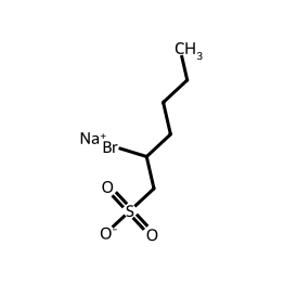 CCCCC(Br)CS(=O)(=O)[O-].[Na+]